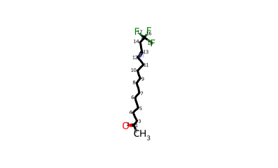 CC(=O)CCCCCCCCC/C=C/CC(F)(F)F